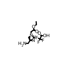 CCOC(=O)Cn1cc(CN)nn1.O=C(O)C(F)(F)F